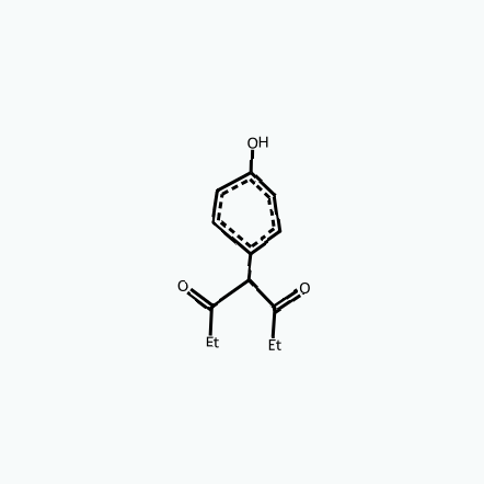 CCC(=O)C(C(=O)CC)c1ccc(O)cc1